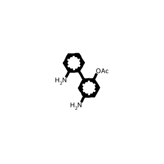 CC(=O)Oc1ccc(N)cc1-c1ccccc1N